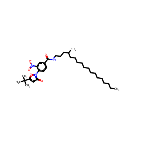 CCCCCCCCCCCCCCC(C)CCCNC(=O)c1ccc(-n2oc(C(C)(C)C)cc2=O)c([N+](=O)[O-])c1